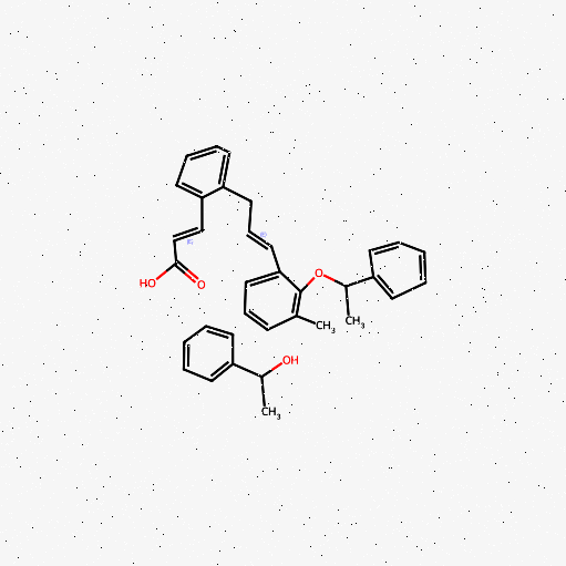 CC(O)c1ccccc1.Cc1cccc(/C=C/Cc2ccccc2/C=C/C(=O)O)c1OC(C)c1ccccc1